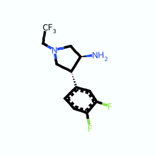 N[C@@H]1CN(CC(F)(F)F)C[C@H]1c1ccc(F)c(F)c1